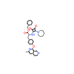 Cc1cc2ccncc2c(Oc2ccc(CC(Nc3c(N4CCCCCC4)c(=O)c3=O)C(=O)OCc3ccccc3)cc2)n1